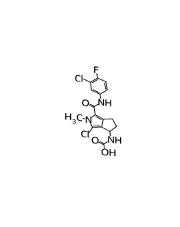 Cn1c(Cl)c2c(c1C(=O)Nc1ccc(F)c(Cl)c1)CCC2NC(=O)O